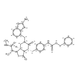 CNC(=O)N(C)N1CC(=O)N2[C@@H](Cc3ccc(NC(=O)OCc4ccccc4)cc3)C(=O)N(Cc3cccc4sc(N)nc34)C[C@@H]21